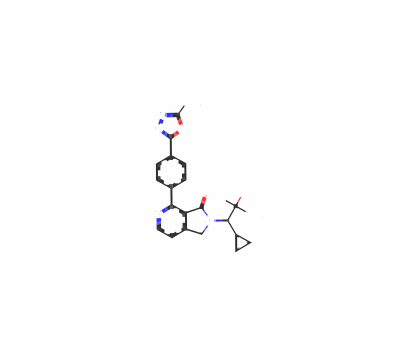 Cc1nnc(-c2ccc(-c3nccc4c3C(=O)N(C(C3CC3)C(C)(C)O)C4)cc2)o1